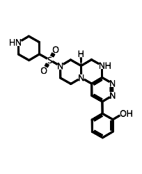 O=S(=O)(C1CCNCC1)N1CCN2c3cc(-c4ccccc4O)nnc3NC[C@H]2C1